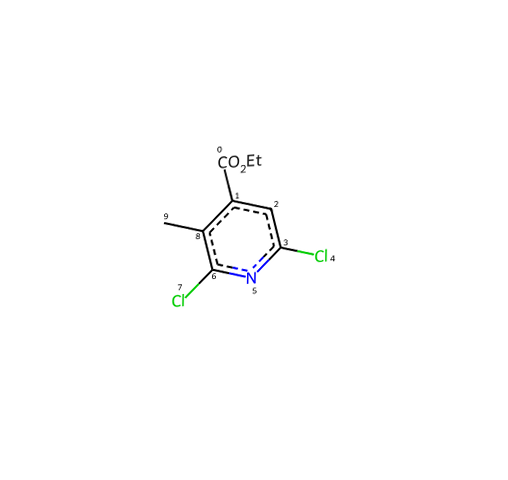 CCOC(=O)c1cc(Cl)nc(Cl)c1C